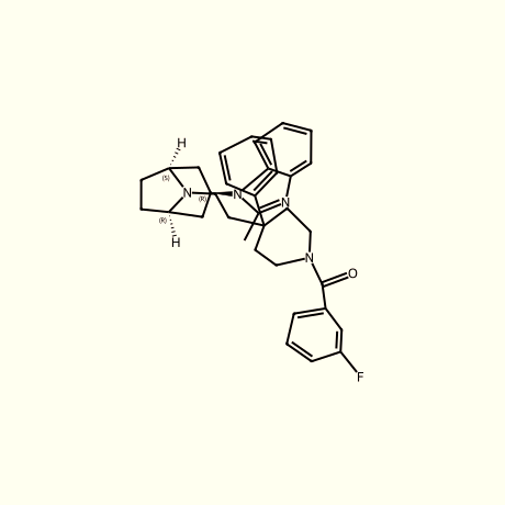 Cc1nc2ccccc2n1[C@H]1C[C@H]2CC[C@@H](C1)N2CCC1(c2ccccc2)CCN(C(=O)c2cccc(F)c2)CC1